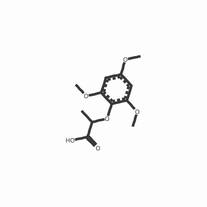 COc1cc(OC)c(OC(C)C(=O)O)c(OC)c1